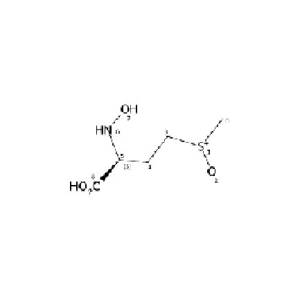 C[S+]([O-])CC[C@H](NO)C(=O)O